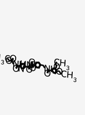 CCOc1ccc(C(=O)NCCc2ccc(S(=O)(=O)NC(=O)c3ccc(C(=O)NCC(=O)OC)nc3)cc2)cc1OCC